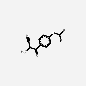 CC(C#N)C(=O)c1ccc(OC(F)F)cc1